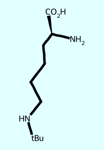 CC(C)(C)NCCCC[C@H](N)C(=O)O